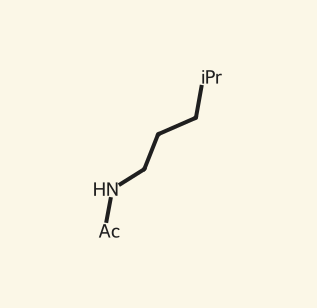 [CH2]C(=O)NCCCC(C)C